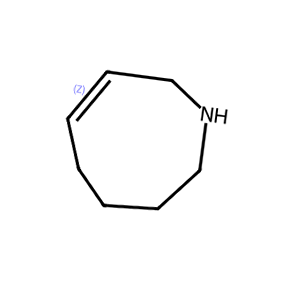 C1=C\CNCCCC/1